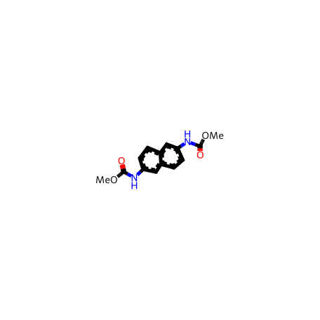 COC(=O)Nc1ccc2cc(NC(=O)OC)ccc2c1